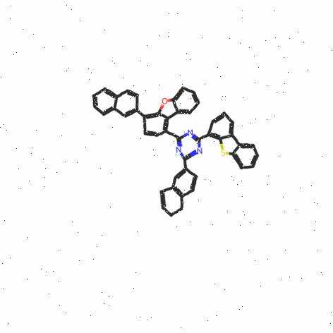 C1=Cc2cc(-c3nc(-c4cccc5c4sc4ccccc45)nc(-c4ccc(-c5ccc6ccccc6c5)c5oc6ccccc6c45)n3)ccc2CC1